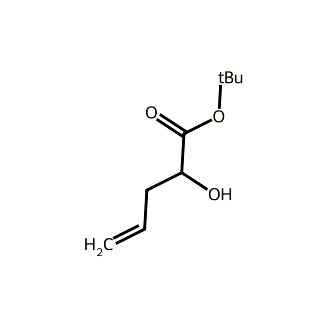 C=CCC(O)C(=O)OC(C)(C)C